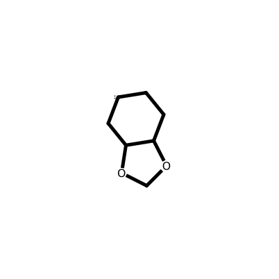 [C]1CCC2OCOC2C1